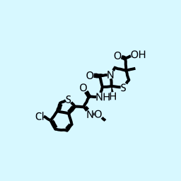 CON=C(C(=O)NC1C(=O)N2CC(C)(C(=O)O)CS[C@H]12)c1scc2c(Cl)cccc12